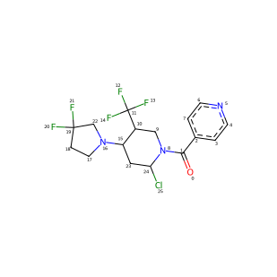 O=C(c1ccncc1)N1CC(C(F)(F)F)C(N2CCC(F)(F)C2)CC1Cl